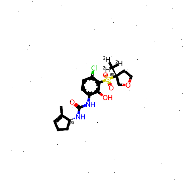 [2H]C([2H])([2H])[C@@]1(S(=O)(=O)c2c(Cl)ccc(NC(=O)N[C@@H]3CCC=C3C)c2O)CCOC1